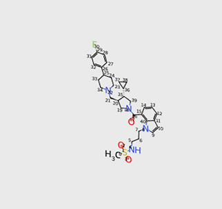 CS(=O)(=O)NCCCn1ccc2cccc(C(=O)N3C[C@@H](CN4CCC(c5ccc(F)cc5)CC4)[C@H](C4CC4)C3)c21